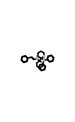 C(=Cc1ccccc1)[SiH2]C1(C2([SiH](c3ccccc3)c3ccccc3)CCCCO2)CCCCO1